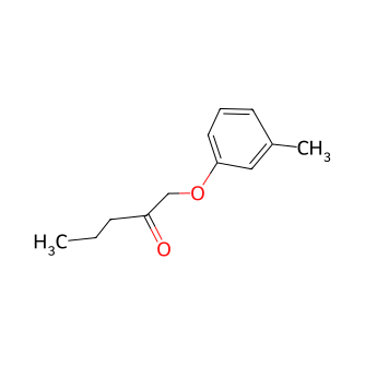 CCCC(=O)COc1cccc(C)c1